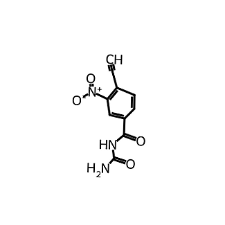 C#Cc1ccc(C(=O)NC(N)=O)cc1[N+](=O)[O-]